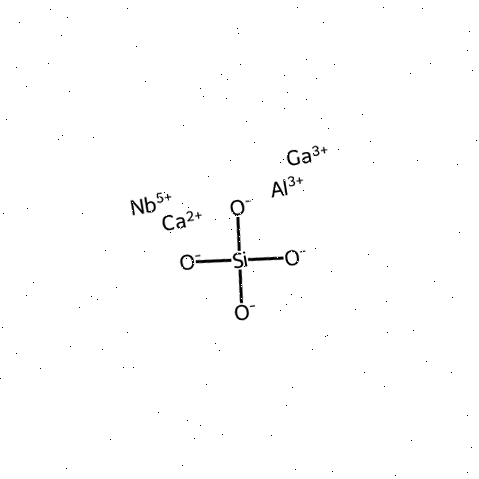 [Al+3].[Ca+2].[Ga+3].[Nb+5].[O-][Si]([O-])([O-])[O-]